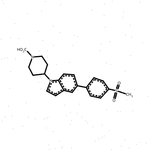 CS(=O)(=O)c1ccc(-c2ccc3c(ccn3C3CCN(C(=O)O)CC3)c2)cc1